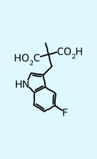 CC(Cc1c[nH]c2ccc(F)cc12)(C(=O)O)C(=O)O